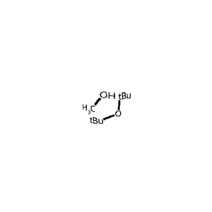 CC(C)(C)OC(C)(C)C.CO